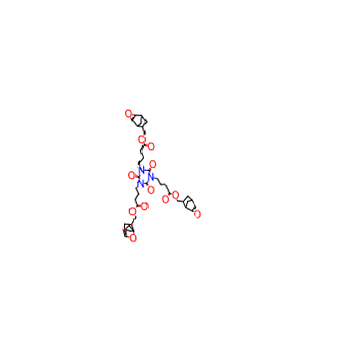 O=C(CCCn1c(=O)n(CCCC(=O)OCC2CC3CC2C2OC32)c(=O)n(CCCC(=O)OCC2CC3CC24CC3O4)c1=O)OCC1CC2CC1C1OC21